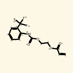 C=CC(=O)OCCOC(=O)Nc1ccccc1C(F)(F)F